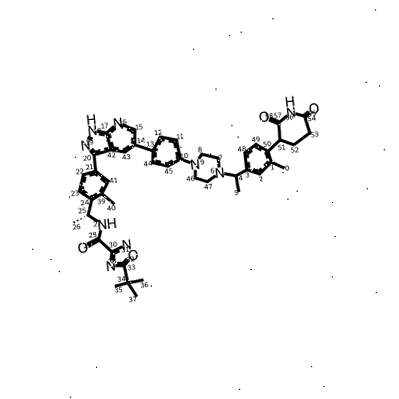 Cc1cc(C(C)N2CCN(c3ccc(-c4cnc5[nH]nc(-c6ccc([C@@H](C)NC(=O)c7noc(C(C)(C)C)n7)c(C)c6)c5c4)cc3)CC2)ccc1C1CCC(=O)NC1=O